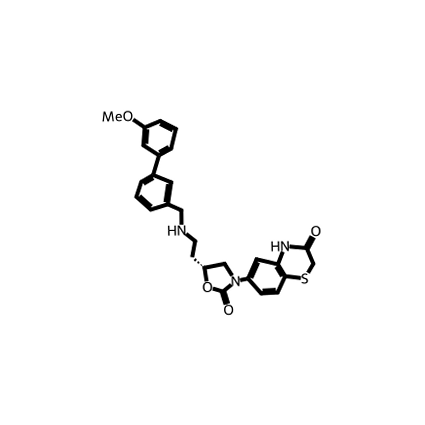 COc1cccc(-c2cccc(CNCC[C@@H]3CN(c4ccc5c(c4)NC(=O)CS5)C(=O)O3)c2)c1